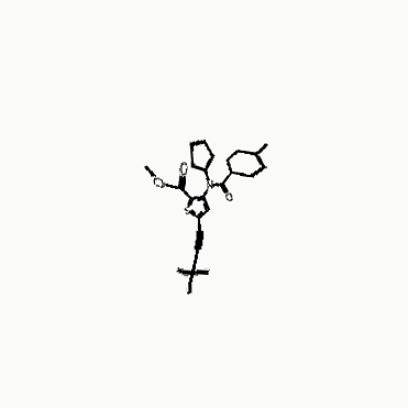 COC(=O)c1sc(C#CC(C)(C)C)cc1N(C(=O)C1CCC(C)CC1)C1CCCC1